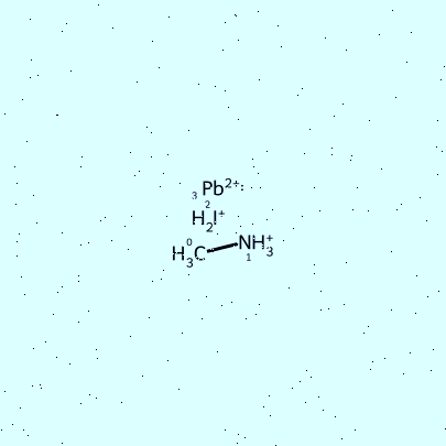 C[NH3+].[IH2+].[Pb+2]